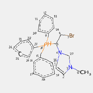 CN1C=CN(C(CBr)[PH](c2ccccc2)(c2ccccc2)c2ccccc2)C1